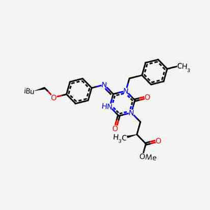 CC[C@H](C)COc1ccc(/N=c2\[nH]c(=O)n(C[C@H](C)C(=O)OC)c(=O)n2Cc2ccc(C)cc2)cc1